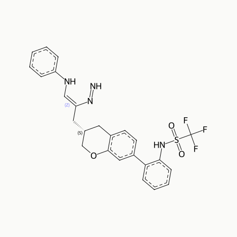 N=N/C(=C\Nc1ccccc1)C[C@H]1COc2cc(-c3ccccc3NS(=O)(=O)C(F)(F)F)ccc2C1